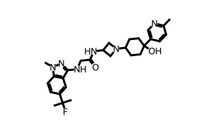 Cc1ccc(C2(O)CCC(N3CC(NC(=O)CNc4nn(C)c5ccc(C(C)(C)F)cc45)C3)CC2)cn1